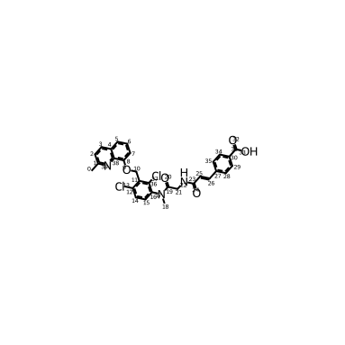 Cc1ccc2cccc(OCc3c(Cl)ccc(N(C)C(=O)CNC(=O)/C=C/c4ccc(C(=O)O)cc4)c3Cl)c2n1